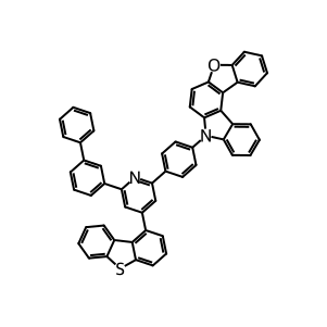 c1ccc(-c2cccc(-c3cc(-c4cccc5sc6ccccc6c45)cc(-c4ccc(-n5c6ccccc6c6c7c(ccc65)oc5ccccc57)cc4)n3)c2)cc1